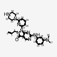 C=CCn1c(=O)c2cnc(Nc3cccc(N(C)C)c3)nc2n1-c1cccc(N2CCNCC2)n1